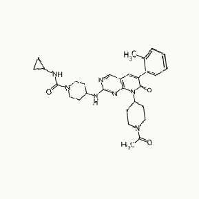 CC(=O)N1CCC(n2c(=O)c(-c3ccccc3C)cc3cnc(NC4CCN(C(=O)NC5CC5)CC4)nc32)CC1